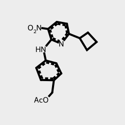 CC(=O)OCc1ccc(Nc2nc(C3CCC3)ccc2[N+](=O)[O-])cc1